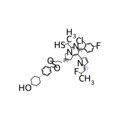 CC(F)/C=C1/C=CC(C2=C3C[C@H](CCS(=O)(=O)c4ccc([C@H]5CC[C@H](O)CC5)cc4)CN3C(C(C)S)=N[C@H]2c2ccc(F)cc2Cl)=N1